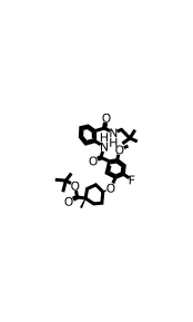 COc1cc(F)c(O[C@H]2CC[C@@](C)(C(=O)OC(C)(C)C)CC2)cc1C(=O)Nc1ccccc1C(=O)NCC(C)(C)C